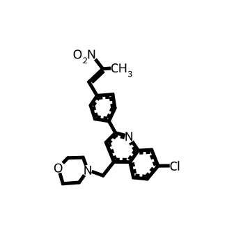 CC(=Cc1ccc(-c2cc(CN3CCOCC3)c3ccc(Cl)cc3n2)cc1)[N+](=O)[O-]